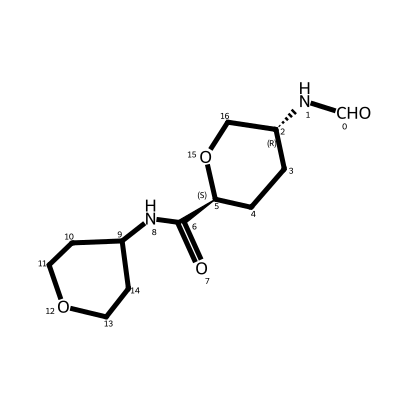 O=CN[C@@H]1CC[C@@H](C(=O)NC2CCOCC2)OC1